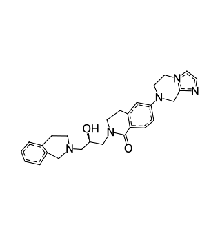 O=C1c2ccc(N3CCn4ccnc4C3)cc2CCN1C[C@H](O)CN1CCc2ccccc2C1